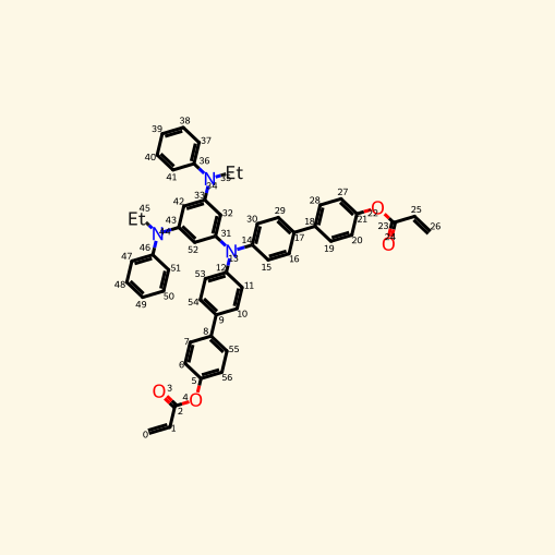 C=CC(=O)Oc1ccc(-c2ccc(N(c3ccc(-c4ccc(OC(=O)C=C)cc4)cc3)c3cc(N(CC)c4ccccc4)cc(N(CC)c4ccccc4)c3)cc2)cc1